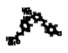 Cl.Cl.O=C(C=Cc1cnc(N[C@@H]2CCN(CCc3ccc(Cl)cc3)C2)cn1)NO